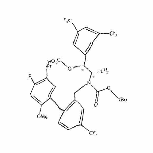 COc1cc(F)c(C(C)C)cc1-c1ccc(C(F)(F)F)cc1CN(C(=O)OC(C)(C)C)[C@@H](C)[C@H](OC(=O)O)c1cc(C(F)(F)F)cc(C(F)(F)F)c1